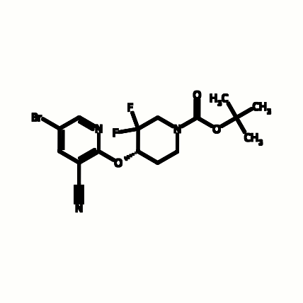 CC(C)(C)OC(=O)N1CC[C@H](Oc2ncc(Br)cc2C#N)C(F)(F)C1